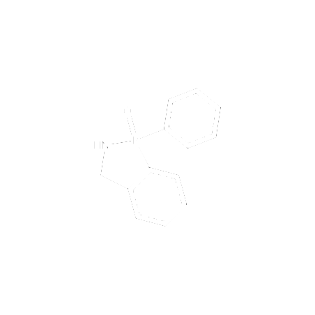 O=P1(c2ccccc2)NCc2ccccc21